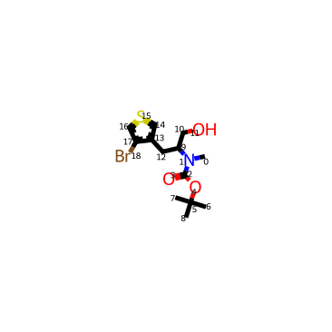 CN(C(=O)OC(C)(C)C)C(CO)Cc1cscc1Br